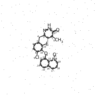 Cc1cc(Cc2ccc(Cl)c(Oc3cccc4ccc[n+]([O-])c34)c2F)n[nH]c1=O